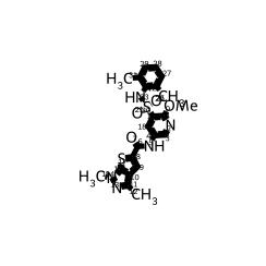 COc1ncc(NC(=O)c2cc3c(C)nn(C)c3s2)cc1S(=O)(=O)Nc1c(C)cccc1C